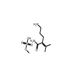 CC(C)=C(CCCN)C(N)=O.COS(=O)(=O)O